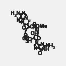 COP1(=O)OCC2O[C@@H](n3cnc4c(=O)[nH]c(N)nc43)C(OP(=O)(S)OCC3O[C@@H](n4cnc5c(N)ncnc54)C(F)C3O1)C2O